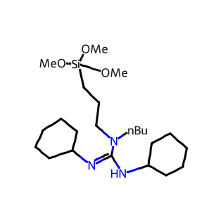 CCCCN(CCC[Si](OC)(OC)OC)/C(=N\C1CCCCC1)NC1CCCCC1